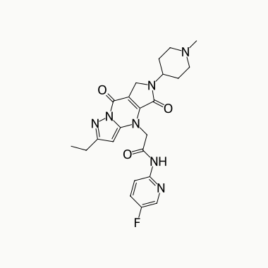 CCc1cc2n(CC(=O)Nc3ccc(F)cn3)c3c(c(=O)n2n1)CN(C1CCN(C)CC1)C3=O